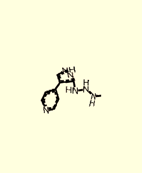 CNNNc1n[nH]cc1-c1ccncc1